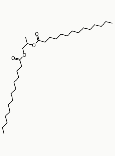 CCCCCCCCCCCCCC(=O)OCC(C)OC(=O)CCCCCCCCCCCCC